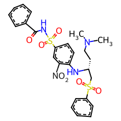 CN(C)CC[C@H](CS(=O)(=O)c1ccccc1)Nc1ccc(S(=O)(=O)NC(=O)c2ccccc2)cc1[N+](=O)[O-]